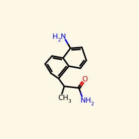 CC(C(N)=O)c1cccc2c(N)cccc12